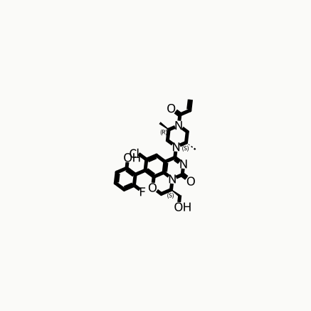 C=CC(=O)N1C[C@H](C)N(c2nc(=O)n3c4c(c(-c5c(O)cccc5F)c(Cl)cc24)OC[C@@H]3CO)C[C@H]1C